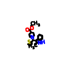 CCOC(=O)C1CCN(C(c2cccs2)c2c(C)[nH]c3ccccc23)CC1